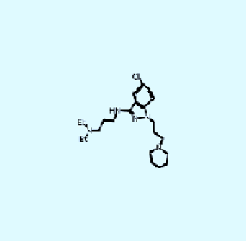 CCN(CC)CCCNc1nn(CCCN2CCCCC2)c2ccc(Cl)cc12